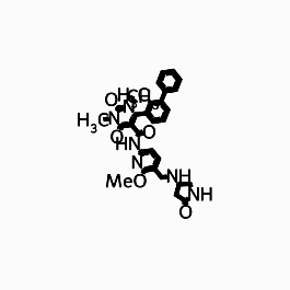 COc1nc(NC(=O)c2c(-c3cccc(-c4ccccc4)c3C)n(C)c(=O)n(C)c2=O)ccc1CNC1CNC(=O)C1